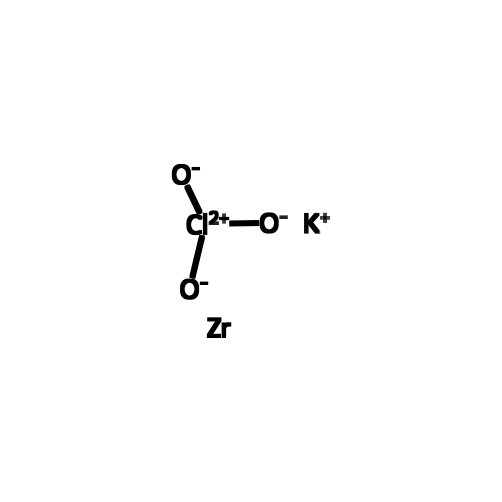 [K+].[O-][Cl+2]([O-])[O-].[Zr]